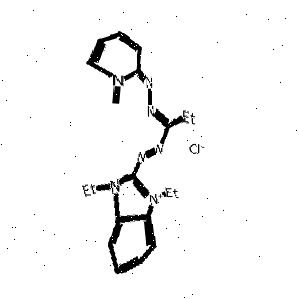 CCC(N=Nc1n(CC)c2ccccc2[n+]1CC)=NN=c1ccccn1C.[Cl-]